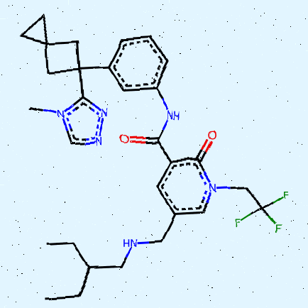 CCC(CC)CNCc1cc(C(=O)Nc2cccc(C3(c4nncn4C)CC4(CC4)C3)c2)c(=O)n(CC(F)(F)F)c1